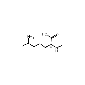 CN[C@@H](CCCC(C)N)C(=O)O